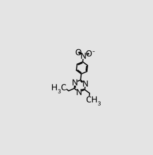 CCc1nc(CC)nc(-c2ccc([N+](=O)[O-])cc2)n1